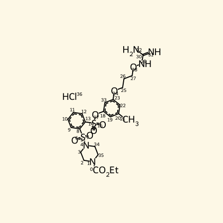 CCOC(=O)N1CCN(S(=O)(=O)c2ccccc2S(=O)(=O)Oc2cc(C)cc(OCCCONC(=N)N)c2)CC1.Cl